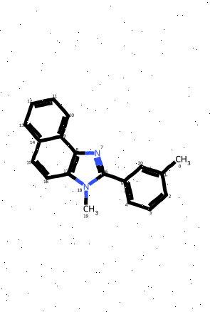 Cc1cccc(-c2nc3c4ccccc4ccc3n2C)c1